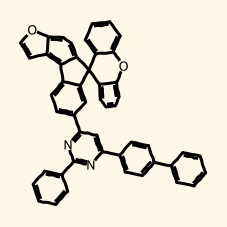 c1ccc(-c2ccc(-c3cc(-c4ccc5c(c4)C4(c6ccccc6Oc6ccccc64)c4ccc6occc6c4-5)nc(-c4ccccc4)n3)cc2)cc1